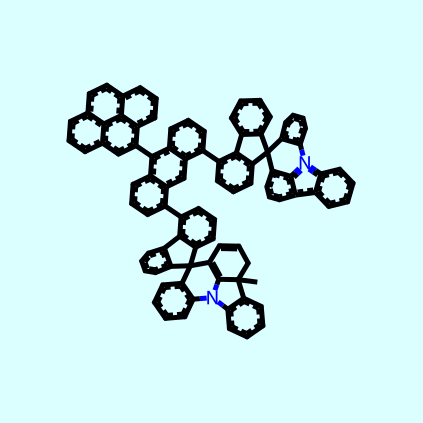 CC12CC=CC3=C1N(c1ccccc12)c1ccccc1C31c2ccccc2-c2c(-c3cccc4c(-c5cc6cccc7ccc8cccc5c8c76)c5cccc(-c6cccc7c6-c6ccccc6C76c7ccccc7-n7c8ccccc8c8cccc6c87)c5cc34)cccc21